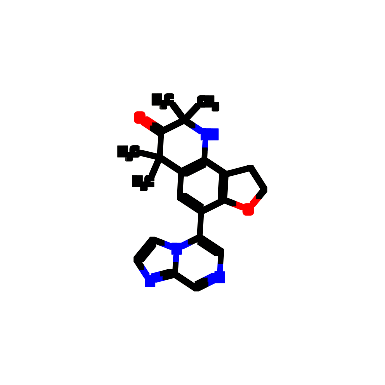 CC1(C)Nc2c(cc(-c3cncc4nccn34)c3c2CCO3)C(C)(C)C1=O